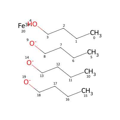 CCCCO.CCCC[O-].CCCC[O-].CCCC[O-].[Fe+3]